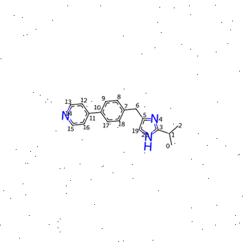 CC(C)c1nc(Cc2ccc(-c3ccncc3)cc2)c[nH]1